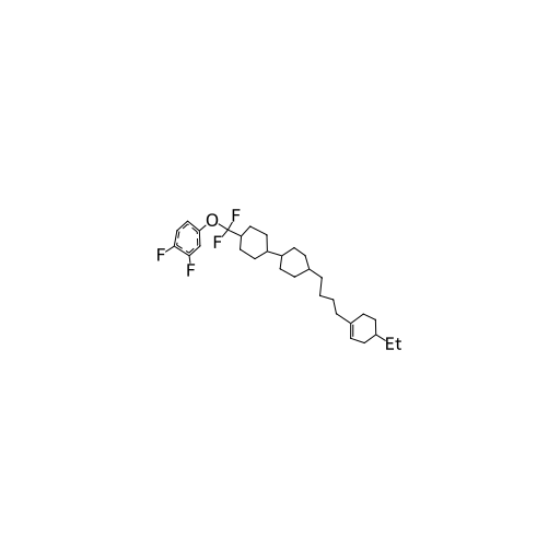 CCC1CC=C(CCCCC2CCC(C3CCC(C(F)(F)Oc4ccc(F)c(F)c4)CC3)CC2)CC1